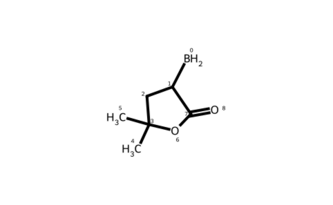 BC1CC(C)(C)OC1=O